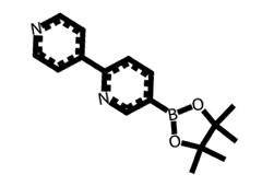 CC1(C)OB(c2ccc(-c3ccncc3)nc2)OC1(C)C